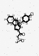 C[S+]([O-])CC(=O)C1=CC23NN(c4ccc(Cl)cc4)C1=C2C=C1C=CCCC13